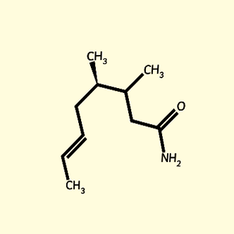 C/C=C/C[C@@H](C)C(C)CC(N)=O